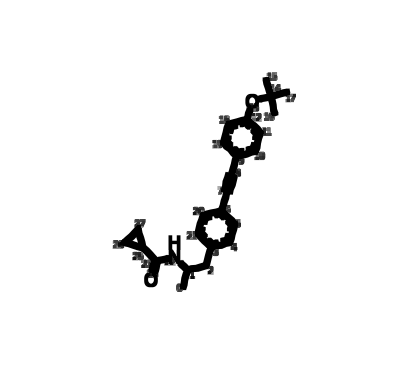 CC(Cc1ccc(C#Cc2ccc(OC(C)(C)C)cc2)cc1)NC(=O)C1CC1